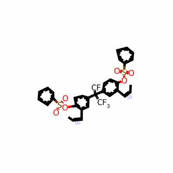 C/C=C\c1cc(C(c2ccc(OS(=O)(=O)c3ccccc3)c(/C=C\C)c2)(C(F)(F)F)C(F)(F)F)ccc1OS(=O)(=O)c1ccccc1